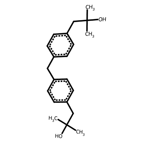 CC(C)(O)Cc1ccc(Cc2ccc(CC(C)(C)O)cc2)cc1